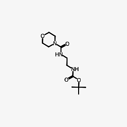 CC(C)(C)OC(=O)NCCNC(=O)N1CCOCC1